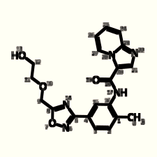 Cc1ccc(-c2noc(COCCO)n2)cc1NC(=O)c1cnc2ccccn12